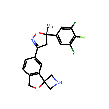 Fc1c(Cl)cc([C@]2(C(F)(F)F)CC(c3ccc4c(c3)C3(CNC3)OC4)=NO2)cc1Cl